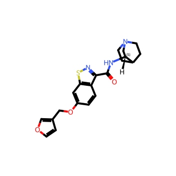 O=C(N[C@@H]1CN2CCC1CC2)c1nsc2cc(OCc3ccoc3)ccc12